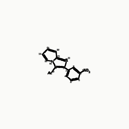 CC(=O)c1c(-c2cccc([N+](=O)[O-])c2)nc2ccccn12